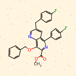 COC(=O)c1nc(-c2ccc(F)cc2)c2cc(Cc3ccc(F)cc3)cnc2c1OCc1ccccc1